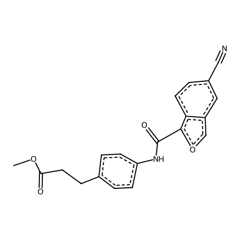 COC(=O)CCc1ccc(NC(=O)c2occ3cc(C#N)ccc23)cc1